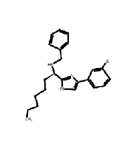 CCCCCC[C@@H](NCc1ccccc1)c1nc(-c2cccc(Br)c2)c[nH]1